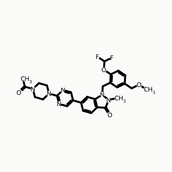 COCc1ccc(OC(F)F)c(Cn2c3cc(-c4cnc(N5CCN(C(C)=O)CC5)nc4)ccc3c(=O)n2C)c1